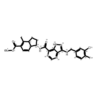 CC1=C(C(=O)OC(C)(C)C)C=CC2C1CC[C@@H]2NC(=O)c1ncnc2c(NCc3ccc(F)c(Cl)c3)n[nH]c12